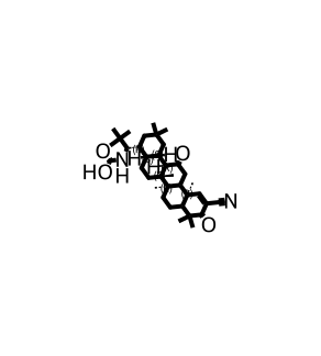 CC1(C)C[C@H]2[C@H](CC[C@]3(C)[C@@H]2C(=O)CC2[C@@]4(C)C=C(C#N)C(=O)C(C)(C)C4CC[C@]23C)[C@H](C(NC(=O)O)C(C)(C)C)C1